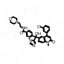 Cn1cncc1C(O)(c1ccc(C(=O)NCCN2CCOCC2)cc1)c1ccc2c(c1)c(-c1cccc(Cl)c1)cc(=O)n2C